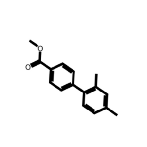 COC(=O)c1ccc(-c2ccc(C)cc2C)cc1